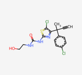 C#CC(C)(c1ccc(Cl)cc1)c1nc(NC(=O)NCCO)sc1Cl